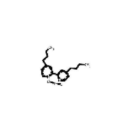 FC(F)(F)CCCc1ccnc(-c2cc(CCCC(F)(F)F)ccn2)c1.[Cl][Pt][Cl]